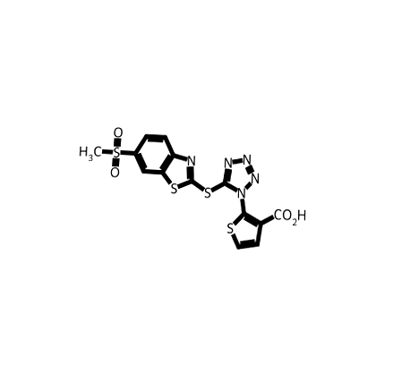 CS(=O)(=O)c1ccc2nc(Sc3nnnn3-c3sccc3C(=O)O)sc2c1